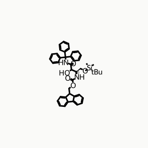 CC(C)(C)[Si](C)(C)OC[C@@H](NC(=O)OCC1c2ccccc2-c2ccccc21)C(O)C(=O)NC(c1ccccc1)(c1ccccc1)c1ccccc1